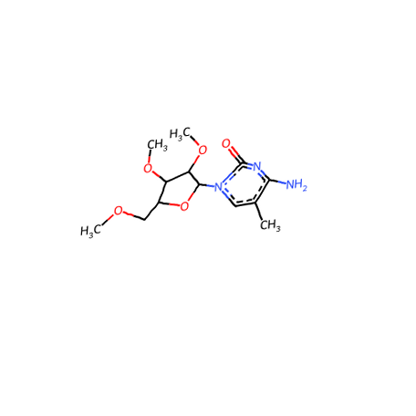 COCC1OC(n2cc(C)c(N)nc2=O)C(OC)C1OC